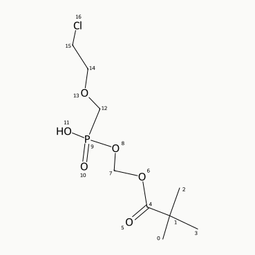 CC(C)(C)C(=O)OCOP(=O)(O)COCCCl